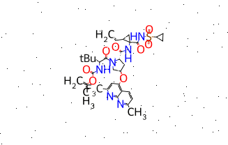 C=CC1CC1(NC(=O)[C@@H]1C[C@@H](Oc2cc(C(F)(F)F)nc3nc(C)ccc23)CN1C(=O)[C@@H](NC(=O)OC(=C)C)C(C)(C)C)C(=O)NS(=O)(=O)C1CC1